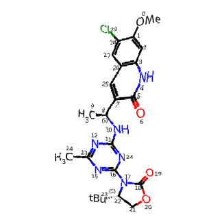 COc1cc2[nH]c(=O)c([C@H](C)Nc3nc(C)nc(N4C(=O)OC[C@@H]4C(C)(C)C)n3)cc2cc1Cl